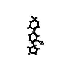 CC1(C)CC=C(c2ccc(-c3nccs3)c(C(F)(F)F)c2)CC1